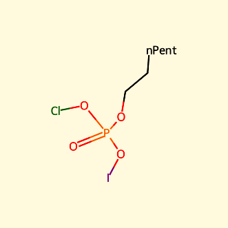 CCCCCCCOP(=O)(OCl)OI